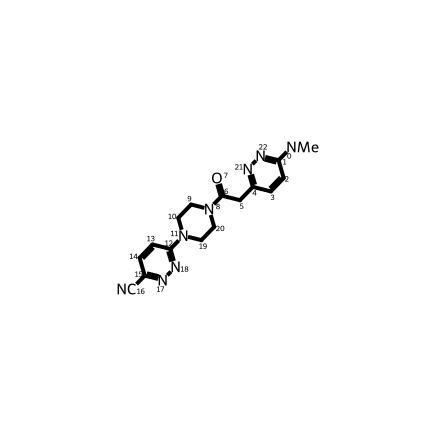 CNc1ccc(CC(=O)N2CCN(c3ccc(C#N)nn3)CC2)nn1